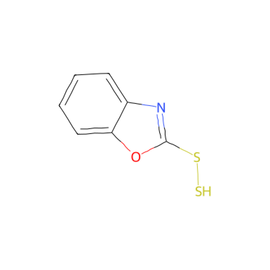 SSc1nc2ccccc2o1